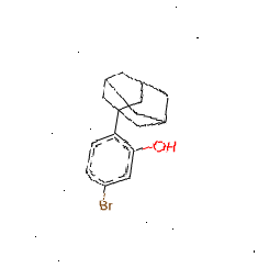 Oc1cc(Br)ccc1C12CC3CC(CC(C3)C1)C2